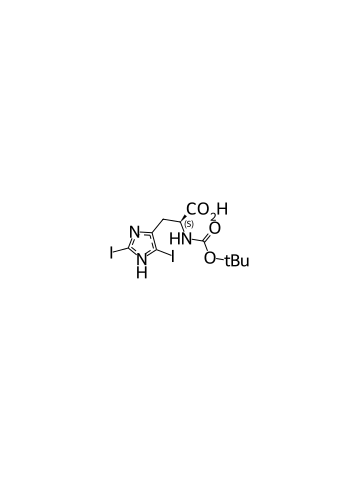 CC(C)(C)OC(=O)N[C@@H](Cc1nc(I)[nH]c1I)C(=O)O